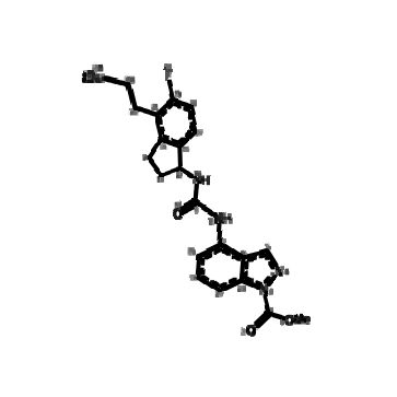 COC(=O)n1ncc2c(NC(=O)NC3CCc4c3ccc(F)c4CCC(C)(C)C)cccc21